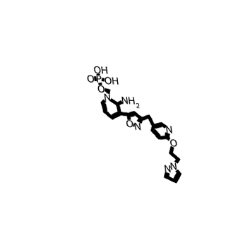 NC1C(c2cc(Cc3ccc(OCCn4cccn4)nc3)no2)=CC=CN1COP(=O)(O)O